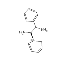 NC(c1ccccc1)C(N)[C@@H]1C=CC=CC1